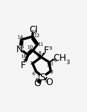 C[C@H]1CS(=O)(=O)CC[C@]1(F)c1cc(Cl)cnc1F